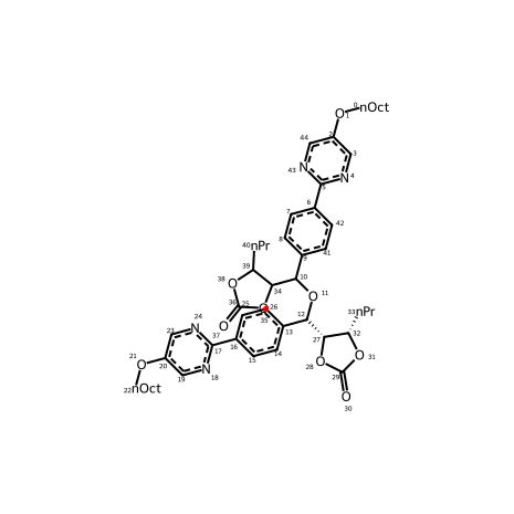 CCCCCCCCOc1cnc(-c2ccc(C(OC(c3ccc(-c4ncc(OCCCCCCCC)cn4)cc3)[C@H]3OC(=O)O[C@H]3CCC)C3OC(=O)OC3CCC)cc2)nc1